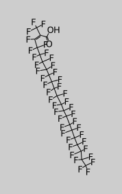 O=C(O)C(=C(F)C(F)(F)C(F)(F)C(F)(F)C(F)(F)C(F)(F)C(F)(F)C(F)(F)C(F)(F)C(F)(F)C(F)(F)C(F)(F)C(F)(F)C(F)(F)C(F)(F)C(F)(F)C(F)(F)C(F)(F)C(F)(F)F)C(F)(F)F